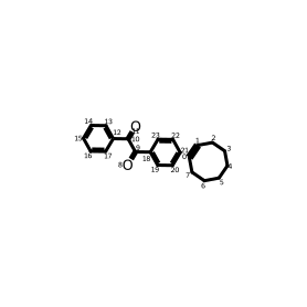 C1#CCCCCCC1.O=C(C(=O)c1ccccc1)c1ccccc1